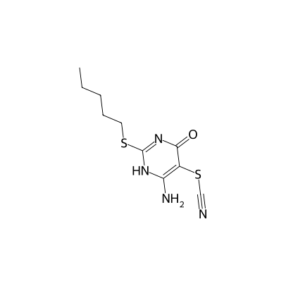 CCCCCSc1nc(=O)c(SC#N)c(N)[nH]1